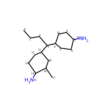 CCCC(C1CCC(N)CC1)C1CCC(N)C(C)C1